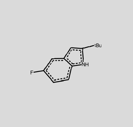 CC(C)(C)c1cc2cc(F)ccc2[nH]1